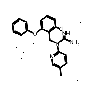 Cc1ccc(N(Cc2c(Cl)cccc2Oc2ccccc2)C(=N)N)nc1